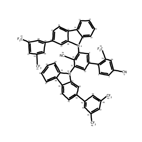 N#Cc1ccc(-c2cc(-n3c4ccccc4c4ccc(-c5cc(C(F)(F)F)cc(C(F)(F)F)c5)cc43)c(C#N)c(-n3c4ccccc4c4ccc(-c5cc(C(F)(F)F)cc(C(F)(F)F)c5)cc43)c2)c(C(F)(F)F)c1